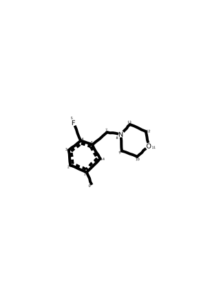 Cc1ccc(F)c(CN2CCOCC2)c1